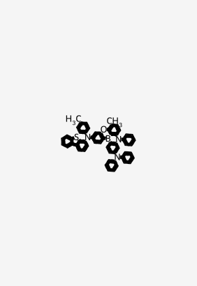 Cc1ccc(N(c2ccc3c(c2)Oc2c(C)ccc4c2B3c2ccc(N(c3ccccc3)c3ccccc3)cc2N4c2ccccc2)c2cccc3c2sc2ccccc23)cc1